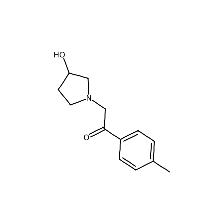 Cc1ccc(C(=O)CN2CCC(O)C2)cc1